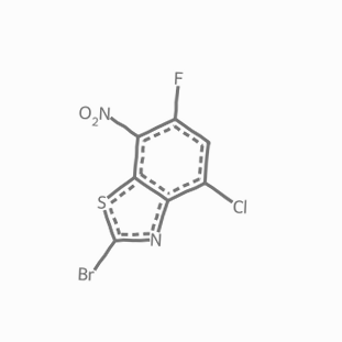 O=[N+]([O-])c1c(F)cc(Cl)c2nc(Br)sc12